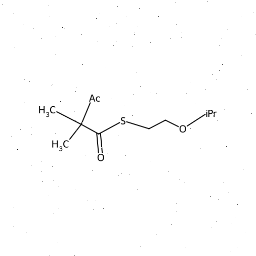 CC(=O)C(C)(C)C(=O)SCCOC(C)C